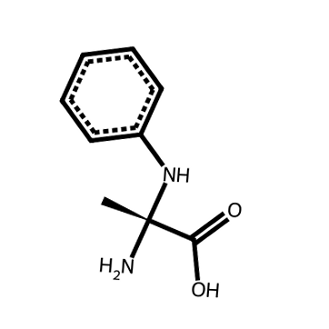 C[C@@](N)(Nc1ccccc1)C(=O)O